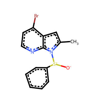 Cc1cc2c(Br)ccnc2n1[S+]([O-])c1ccccc1